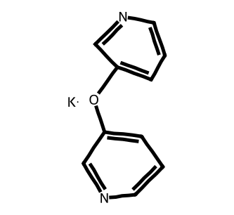 [K].c1cncc(Oc2cccnc2)c1